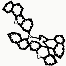 c1ccc2c(c1)Oc1ccccc1C21c2cc(N(c3ccc4c(c3)oc3c5ccccc5ccc43)c3cccc4ccccc34)ccc2-c2cccc3cccc1c23